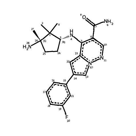 CC1(C)[C@H](Nc2c(C(N)=O)cnn3cc(-c4cccc(F)c4)cc23)CC[C@]1(C)N